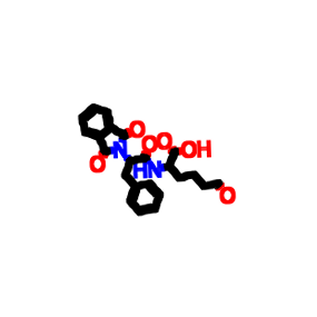 O=CCCCC(NC(=O)C(Cc1ccccc1)N1C(=O)c2ccccc2C1=O)C(=O)O